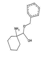 NC1(C(O)OCc2ccccc2)CCCCC1